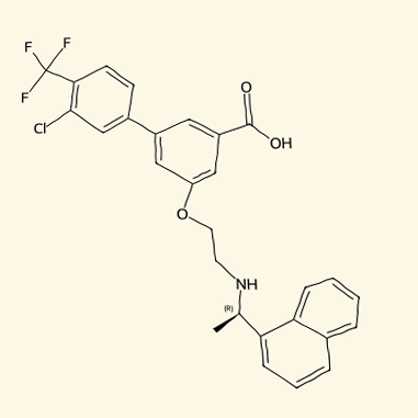 C[C@@H](NCCOc1cc(C(=O)O)cc(-c2ccc(C(F)(F)F)c(Cl)c2)c1)c1cccc2ccccc12